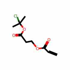 C=CC(=O)OCCC(=O)OC(C)(C)Cl